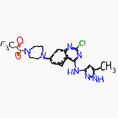 Cc1cc(Nc2nc(Cl)nc3cc(N4CCN(S(=O)(=O)C(F)(F)F)CC4)ccc23)n[nH]1